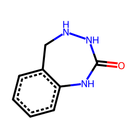 O=C1NNCc2ccccc2N1